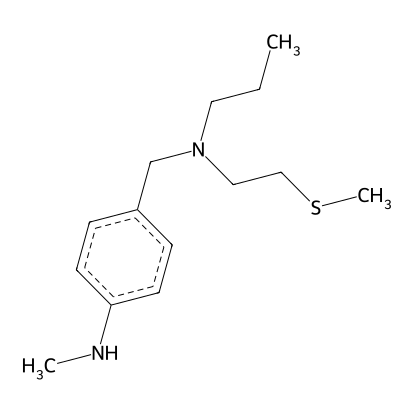 CCCN(CCSC)Cc1ccc(NC)cc1